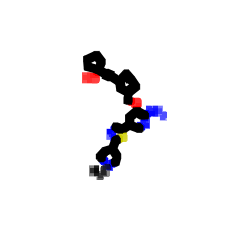 CN1CCC(c2ncc(-c3cnc(N)c(OCc4cccc(C#CC5(O)CCCC5)c4)c3)s2)CC1